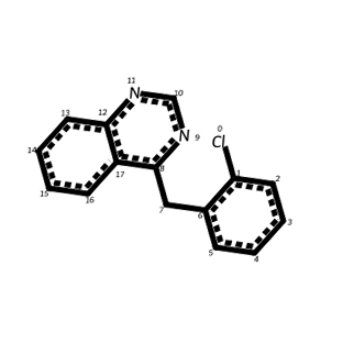 Clc1ccccc1Cc1ncnc2ccccc12